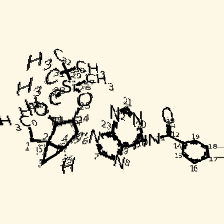 CC[C@]12C[C@@H]1[C@@H](n1cnc3c(NC(=O)c4ccccc4)ncnc31)[C@H](O[Si](C)(C)C(C)(C)C)[C@@H]2O